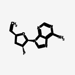 C=C[C@@H]1C[C@@H](F)[C@H](n2cnc3c(N)ncnc32)O1